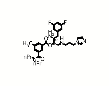 CCCN(CCC)C(=O)c1cc(C)cc(C(=O)O[C@H](CNCCCn2ccnc2)[C@@H](N)Cc2cc(F)cc(F)c2)c1